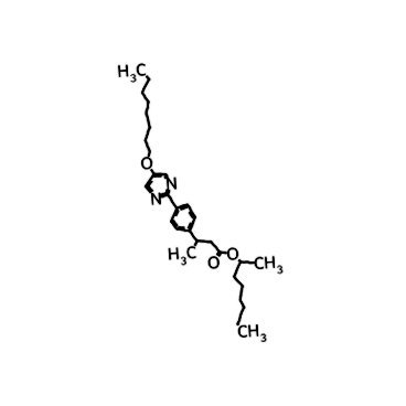 CCCCCCCCOc1cnc(-c2ccc(C(C)CC(=O)OC(C)CCCCCC)cc2)nc1